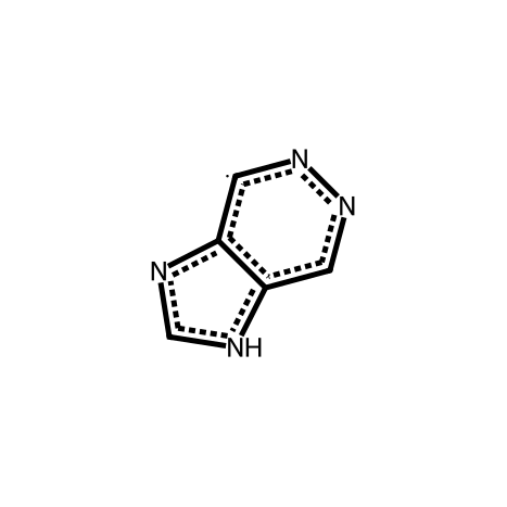 [c]1nncc2[nH]cnc12